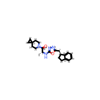 C[C@@H](Nc1nnc(C[C@@H]2CCc3ccccc32)o1)C(=O)N1CCC2(CC1)CC2